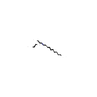 CCCCCCCCCCCCCCCCCCC/C=C/C(CO)NCCO